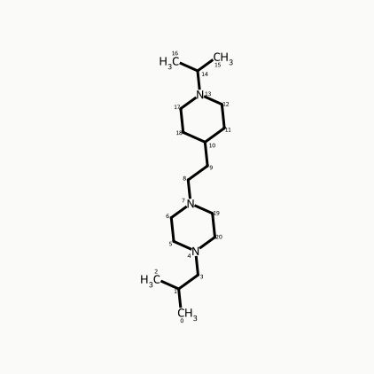 CC(C)CN1CCN(CCC2CCN(C(C)C)CC2)CC1